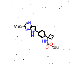 CSc1cnc2cc(-c3ccc(C4(NC(=O)OC(C)(C)C)CCC4)cc3)[nH]c2n1